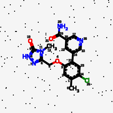 Cc1cc(OCc2n[nH]c(=O)n2C)c(-c2cncc(C(N)=O)c2)cc1Cl